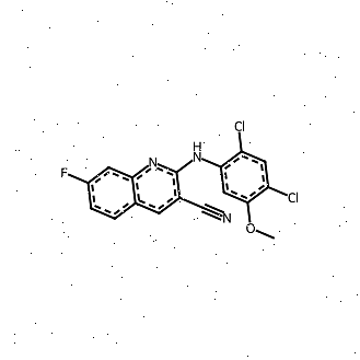 COc1cc(Nc2nc3cc(F)ccc3cc2C#N)c(Cl)cc1Cl